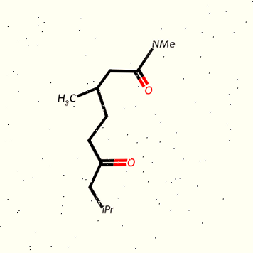 CNC(=O)CC(C)CCC(=O)CC(C)C